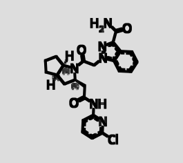 NC(=O)c1nn(CC(=O)N2[C@@H](CC(=O)Nc3cccc(Cl)n3)C[C@H]3CCC[C@H]32)c2ccccc12